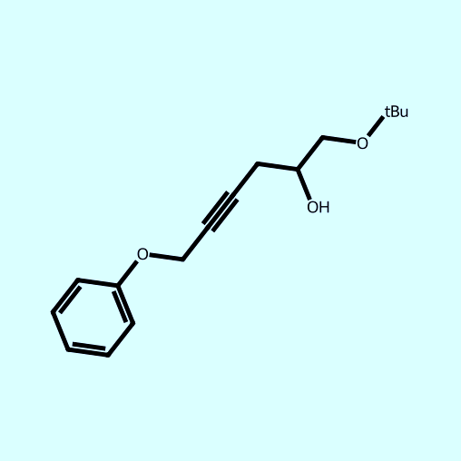 CC(C)(C)OCC(O)CC#CCOc1ccccc1